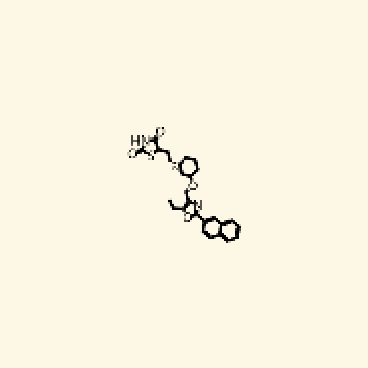 CCc1oc(-c2ccc3ccccc3c2)nc1COC1CCC[C@@H](CCC2SC(=O)NC2=O)C1